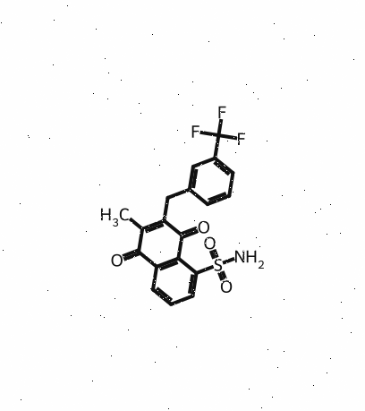 CC1=C(Cc2cccc(C(F)(F)F)c2)C(=O)c2c(cccc2S(N)(=O)=O)C1=O